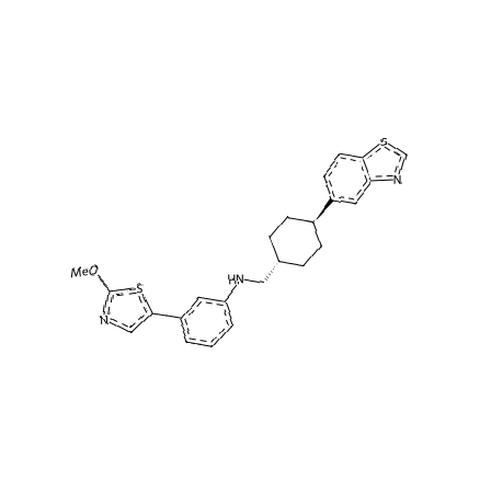 COc1ncc(-c2cccc(NC[C@H]3CC[C@H](c4ccc5scnc5c4)CC3)c2)s1